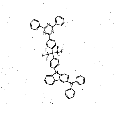 FC(F)(F)C(c1ccc(-c2nc(-c3ccccc3)nc(-c3ccccc3)n2)cc1)(c1ccc(-n2c3ccccc3c3cc(N(c4ccccc4)c4ccccc4)ccc32)cc1)C(F)(F)F